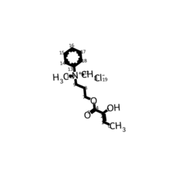 CC=C(O)C(=O)OCCC[N+](C)(C)c1ccccc1.[Cl-]